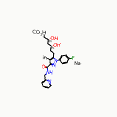 CC(C)c1c(C(=O)NCc2ccccn2)nn(-c2ccc(F)cc2)c1CC[C@@H](O)C[C@@H](O)CC(=O)O.[Na]